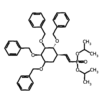 CC(C)OP(=O)(/C=C/[C@H]1CC(OCc2ccccc2)[C@@H](OCc2ccccc2)[C@@H](OCc2ccccc2)[C@@H]1OCc1ccccc1)OC(C)C